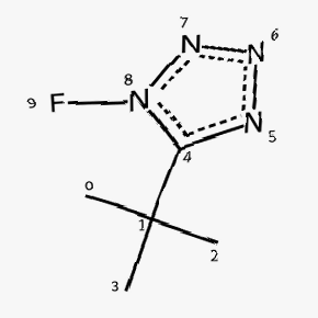 CC(C)(C)c1nnnn1F